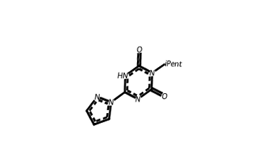 CCCC(C)n1c(=O)nc(-n2cccn2)[nH]c1=O